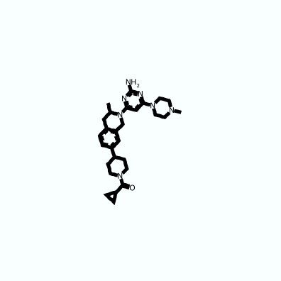 CC1Cc2ccc(C3CCN(C(=O)C4CC4)CC3)cc2CN1c1cc(N2CCN(C)CC2)nc(N)n1